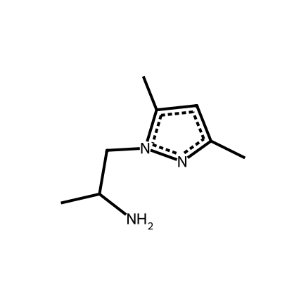 Cc1cc(C)n(CC(C)N)n1